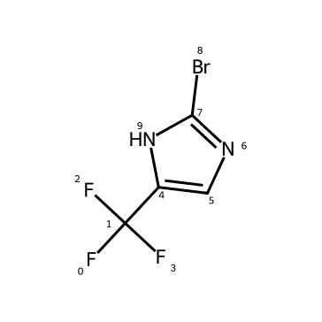 FC(F)(F)c1cnc(Br)[nH]1